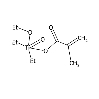 C=C(C)C(=O)[O][Ti](=[O])([CH2]C)([CH2]C)[O]CC